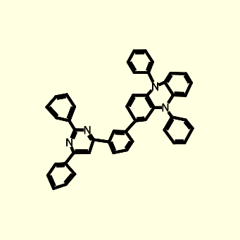 c1ccc(-c2cc(-c3cccc(-c4ccc5c(c4)N(c4ccccc4)c4ccccc4N5c4ccccc4)c3)nc(-c3ccccc3)n2)cc1